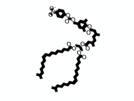 Cc1cc(COC(=O)Oc2ccc([N+](=O)[O-])cc2)cc(C)c1OC(=O)CC(C)CCC(C)CC(=O)OC(COC(=O)CCCCCCC/C=C\CCCCCC(C)C)COC(=O)CCCCCCC/C=C\CCCCCC(C)C